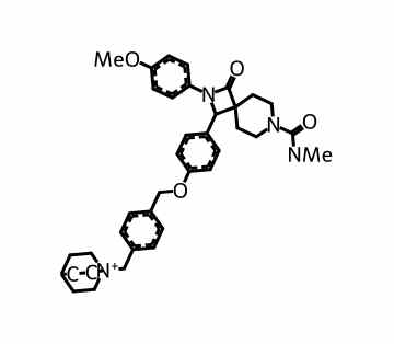 CNC(=O)N1CCC2(CC1)C(=O)N(c1ccc(OC)cc1)C2c1ccc(OCc2ccc(C[N+]34CCC(CC3)CC4)cc2)cc1